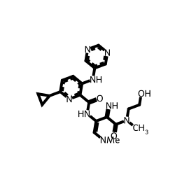 CN/C=C(/NC(=O)c1nc(C2CC2)ccc1Nc1cncnc1)C(=N)C(=O)N(C)CCO